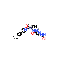 C/C(CNC(=O)c1ccc(NCCO)nc1)=C(\C)CC(=O)N1CCC(c2ccc(C#N)cc2)CC1